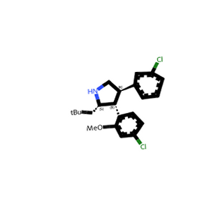 COc1cc(Cl)ccc1[C@@H]1[C@H](CC(C)(C)C)NC[C@H]1c1cccc(Cl)c1